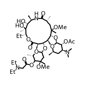 CC[C@H]1OC(=O)[C@H](C)[C@@H](O[C@H]2C[C@@](C)(OC)C(OC(=O)CN(CC)CC)[C@H](C)O2)[C@H](C)[C@@H](O[C@@H]2O[C@H](C)C[C@H](N(C)C)[C@H]2OC(C)=O)[C@](C)(OC)C[C@@H](C)C(=O)N[C@H](C)[C@@H](O)[C@]1(C)O